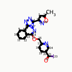 Cc1cc(-c2nnc3c4ccccc4c(OCc4ccc(C(=O)I)cn4)nn23)no1